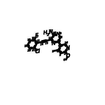 COc1cc(C)c(-c2cnc(N)c(C#Cc3c(F)cccc3Cl)n2)cn1